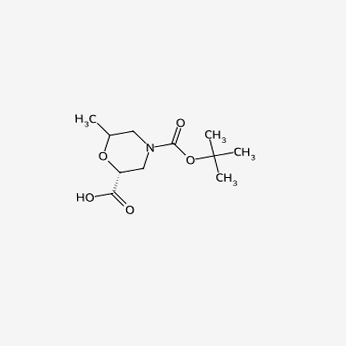 CC1CN(C(=O)OC(C)(C)C)C[C@H](C(=O)O)O1